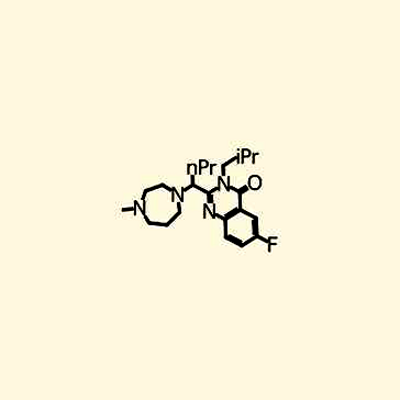 CCCC(c1nc2ccc(F)cc2c(=O)n1CC(C)C)N1CCCN(C)CC1